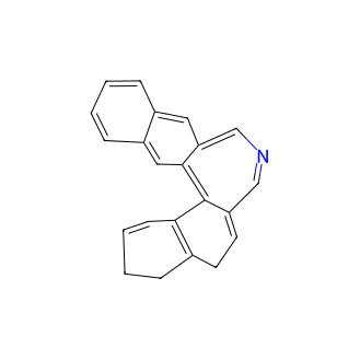 C1=CC2=C(CC=C3C=NC=c4cc5ccccc5cc4=C32)CC1